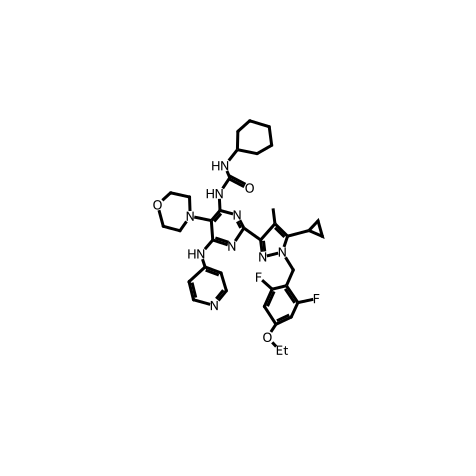 CCOc1cc(F)c(Cn2nc(-c3nc(NC(=O)NC4CCCCC4)c(N4CCOCC4)c(Nc4ccncc4)n3)c(C)c2C2CC2)c(F)c1